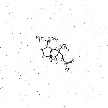 C=C(C)C1CCC(C)=C1CC(C)(C)COC(=O)CC